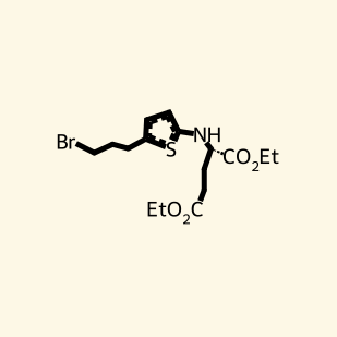 CCOC(=O)CC[C@H](Nc1ccc(CCCBr)s1)C(=O)OCC